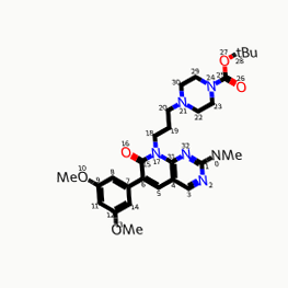 CNc1ncc2cc(-c3cc(OC)cc(OC)c3)c(=O)n(CCCN3CCN(C(=O)OC(C)(C)C)CC3)c2n1